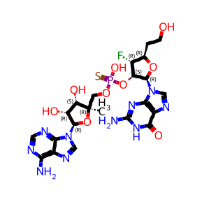 C[C@]1(COP(O)(=S)O[C@@H]2[C@H](F)[C@@H](CCO)O[C@H]2n2cnc3c(=O)[nH]c(N)nc32)O[C@@H](n2cnc3c(N)ncnc32)[C@H](O)[C@@H]1O